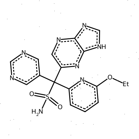 CCOc1cccc(C(c2cncnc2)(c2cnc3nc[nH]c3n2)S(N)(=O)=O)n1